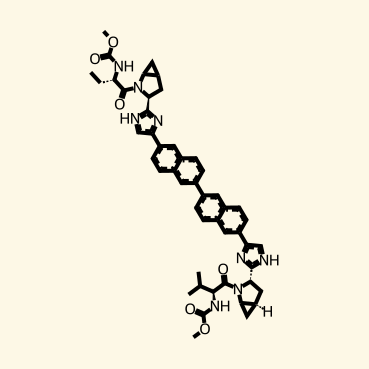 CC[C@H](NC(=O)OC)C(=O)N1C2CC2C[C@H]1c1nc(-c2ccc3cc(-c4ccc5cc(-c6c[nH]c([C@@H]7C[C@H]8CC8N7C(=O)[C@@H](NC(=O)OC)C(C)C)n6)ccc5c4)ccc3c2)c[nH]1